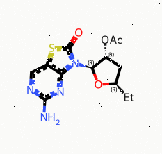 CC[C@@H]1C[C@@H](OC(C)=O)[C@H](n2c(=O)sc3cnc(N)nc32)O1